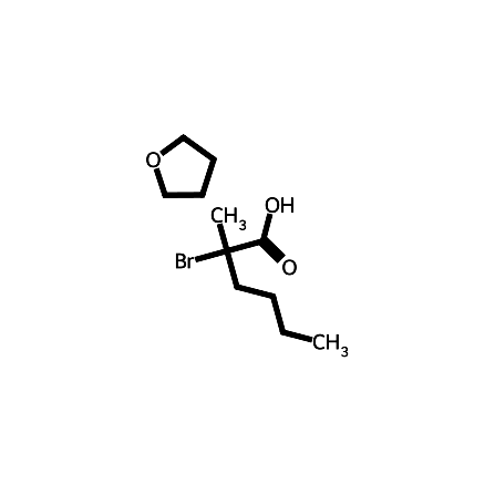 C1CCOC1.CCCCC(C)(Br)C(=O)O